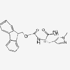 Cn1cc(C[C@H](NC(=O)OCC2c3ccccc3-c3ccccc32)C(=O)O)cn1